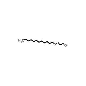 CCCCCCCCCCCCSOCC[O]